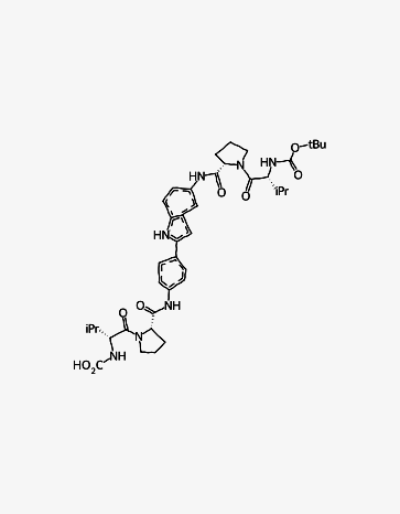 CC(C)[C@@H](NC(=O)O)C(=O)N1CCC[C@H]1C(=O)Nc1ccc(-c2cc3cc(NC(=O)[C@@H]4CCCN4C(=O)[C@H](NC(=O)OC(C)(C)C)C(C)C)ccc3[nH]2)cc1